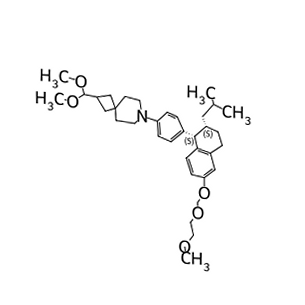 COCCOCOc1ccc2c(c1)CC[C@@H](CC(C)C)[C@H]2c1ccc(N2CCC3(CC2)CC(C(OC)OC)C3)cc1